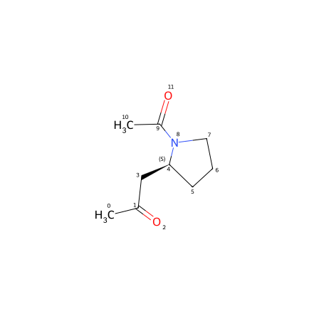 CC(=O)C[C@@H]1CCCN1C(C)=O